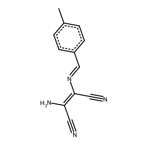 Cc1ccc(C=NC(C#N)=C(N)C#N)cc1